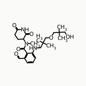 CN(C(=O)c1c(C=O)cccc1NCC(C)(C)COCC(C)(C)CO)C1CCC(=O)NC1=O